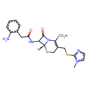 Cn1ccnc1SCC1=C(C(=O)O)N2C(=O)C(NC(=O)Cc3ccccc3N)[C@H]2SC1